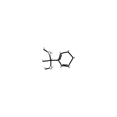 COC(C)(OC)C1=CCCC=C1